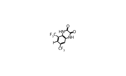 O=c1[nH]c2cc(C(F)(F)F)c(I)c(C(F)(F)F)c2[nH]c1=O